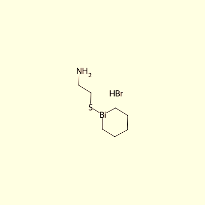 Br.NCC[S][Bi]1[CH2]CCC[CH2]1